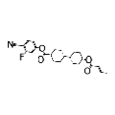 CC=CC(=O)O[C@H]1CC[C@H]([C@H]2CC[C@H](C(=O)Oc3ccc(C#N)c(F)c3)CC2)CC1